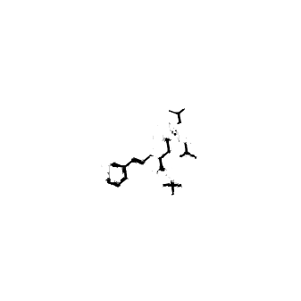 CC(C)CNNC(=O)[C@H](CC(C)C)[C@H](CC=Cc1cccnc1)C(=O)OC(C)(C)C